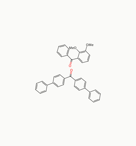 COc1cccc(C(=O)c2ccccc2)c1OC.O=C(c1ccc(-c2ccccc2)cc1)c1ccc(-c2ccccc2)cc1